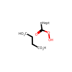 CCCCCCCC(=O)OO.O=C(O)CCC(=O)O